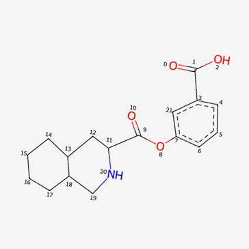 O=C(O)c1cccc(OC(=O)C2CC3CCCCC3CN2)c1